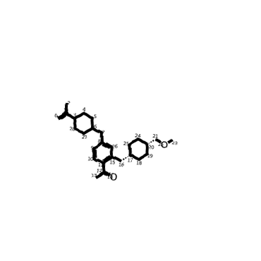 C=C(C)C1CCC(Cc2ccc(C(C)=O)c(C[C@H]3CC[C@@H](COC)CC3)c2)CC1